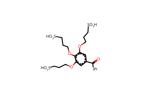 CC(C)C(=O)c1cc(OCCCS(=O)(=O)O)c(OCCCS(=O)(=O)O)c(OCCCS(=O)(=O)O)c1